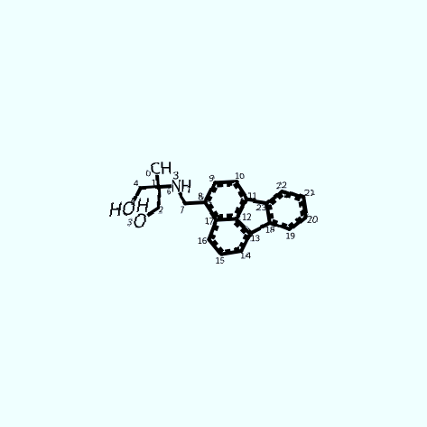 CC(CO)(CO)NCc1ccc2c3c(cccc13)-c1ccccc1-2